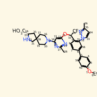 CCOc1ccc(-c2ccc([C@@H](Oc3cc(N4CCC5(CC4)CN[C@H](C(=O)O)C5)nc(C)n3)C(F)(F)F)c(-n3ccc(C)n3)c2)cc1